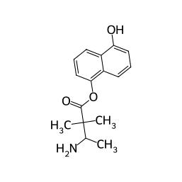 CC(N)C(C)(C)C(=O)Oc1cccc2c(O)cccc12